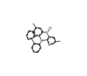 Cc1cnc2c(c1)[S+]([O-])c1cc(C)cnc1N2c1ccccc1-c1ccccc1